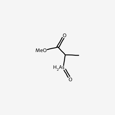 COC(=O)C(C)[AsH2]=O